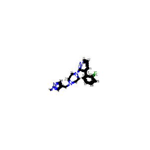 Cn1cc(CN2CCN(c3ncccc3-c3ccccc3F)CC2)cn1